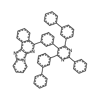 c1ccc(-c2cccc(-c3nc(-c4ccccc4)nc(-c4cccc(-c5ccccc5)c4)c3-c3cccc(-c4nc5c(nc6ccccn65)c5ccccc45)c3)c2)cc1